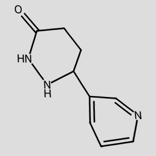 O=C1CCC(c2cccnc2)NN1